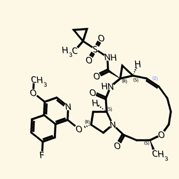 COc1cnc(O[C@@H]2C[C@H]3C(=O)N[C@]4(C(=O)NS(=O)(=O)C5(C)CC5)C[C@H]4/C=C\CCCO[C@@H](C)CC(=O)N3C2)c2cc(F)ccc12